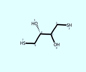 OC(CS)[C@@H](O)CS